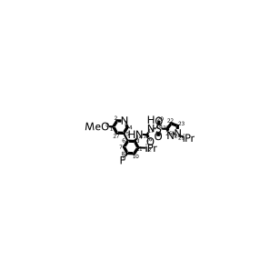 COc1cncc(-c2cc(F)cc(C(C)C)c2NC(=O)NS(=O)(=O)c2ccn(C(C)C)n2)c1